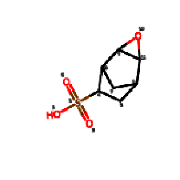 O=S(=O)(O)C1CC2CC1C1OC21